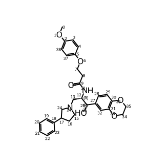 COc1ccc(OCCC(=O)N[C@H](CN2CCC(c3ccccc3)C2)[C@H](O)c2ccc3c(c2)OCCO3)cc1